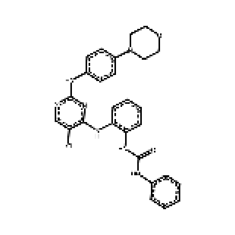 O=C(Nc1ccccc1)Nc1ccccc1Nc1nc(Nc2ccc(N3CCOCC3)cc2)ncc1Cl